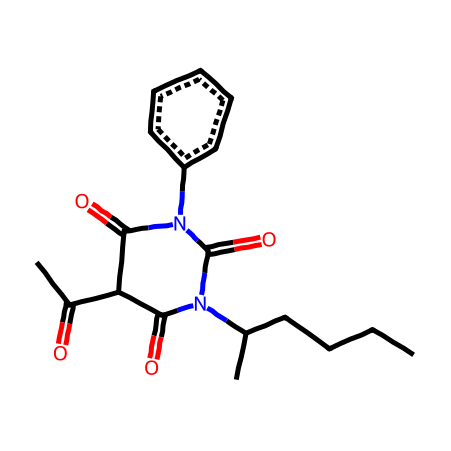 CCCCC(C)N1C(=O)C(C(C)=O)C(=O)N(c2ccccc2)C1=O